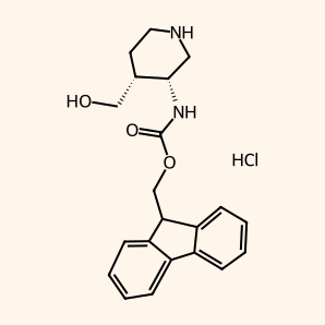 Cl.O=C(N[C@H]1CNCC[C@H]1CO)OCC1c2ccccc2-c2ccccc21